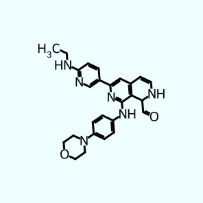 CCNc1ccc(-c2cc3c(c(Nc4ccc(N5CCOCC5)cc4)n2)C(C=O)NC=C3)cn1